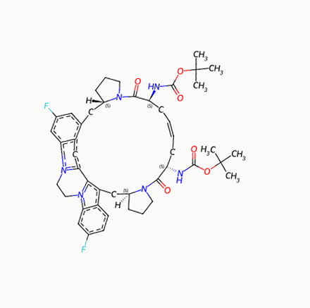 CC(C)(C)OC(=O)N[C@H]1CC=CC[C@H](NC(=O)OC(C)(C)C)C(=O)N2CCC[C@H]2Cc2c3n(c4cc(F)ccc24)CCn2c-3cc3c(cc(F)cc32)C[C@@H]2CCCN2C1=O